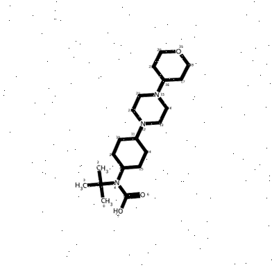 CC(C)(C)N(C(=O)O)C1CCC(N2CCN(C3CCOCC3)CC2)CC1